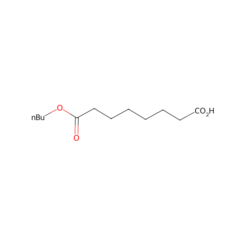 CCCCOC(=O)CCCCCCC(=O)O